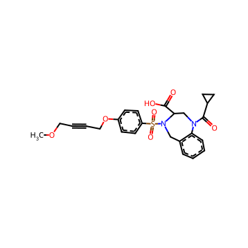 COCC#CCOc1ccc(S(=O)(=O)N2Cc3ccccc3N(C(=O)C3CC3)CC2C(=O)O)cc1